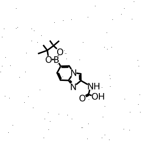 CC1(C)OB(c2ccc3nc(NC(=O)O)cn3c2)OC1(C)C